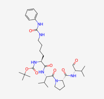 CC(C)[C@H](NC(=O)[C@H](CCCCNC(=O)Nc1ccccc1)NC(=O)OC(C)(C)C)C(=O)N1CCC[C@H]1C(=O)N[C@H](C=O)C(C)C